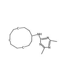 Cc1nc(C)nc(NC2CCCCCCCCCCC2)n1